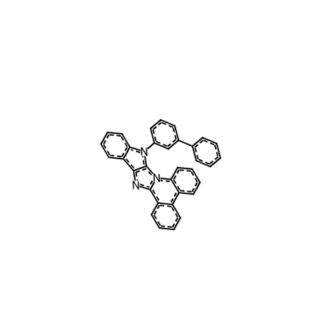 c1ccc(-c2cccc(-n3c4ccccc4c4nc5c6ccccc6c6ccccc6n5c43)c2)cc1